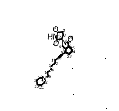 O=C1CCC(N2Cc3c(C#CCCCCCCN4CCCCC4)cccc3C2=O)C(=O)N1